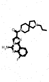 CCCN1CCC2(CCN(C(=O)c3cn4c(N)nc5c(F)cccc5c4n3)CC2)C1